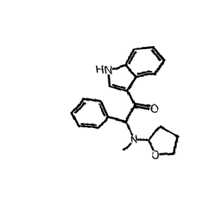 CN(C1CCCO1)C(C(=O)c1c[nH]c2ccccc12)c1ccccc1